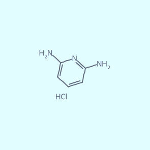 Cl.Nc1cccc(N)n1